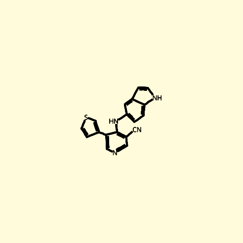 N#Cc1cncc(-c2ccsc2)c1Nc1ccc2[nH]ccc2c1